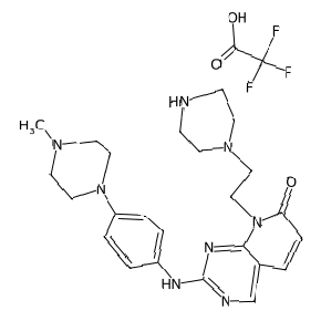 CN1CCN(c2ccc(Nc3ncc4ccc(=O)n(CCN5CCNCC5)c4n3)cc2)CC1.O=C(O)C(F)(F)F